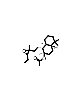 CC(=O)O[C@]1(C)CC[C@H]2C(C)(C)CCC[C@]2(C)[C@H]1CCC1(C)OC1CI